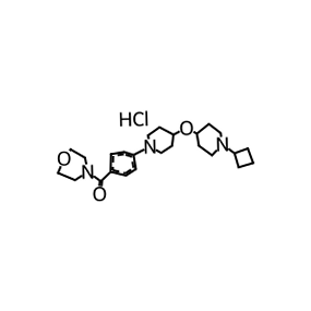 Cl.O=C(c1ccc(N2CCC(OC3CCN(C4CCC4)CC3)CC2)cc1)N1CCOCC1